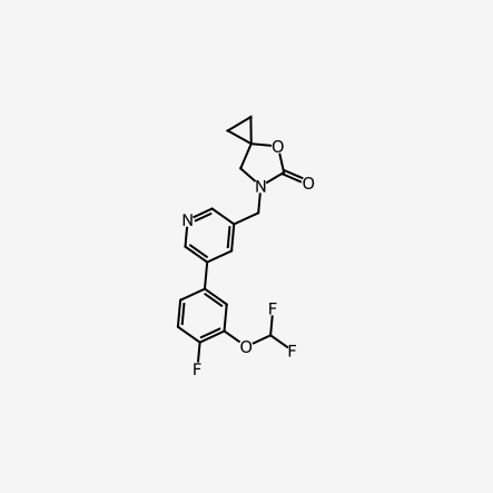 O=C1OC2(CC2)CN1Cc1cncc(-c2ccc(F)c(OC(F)F)c2)c1